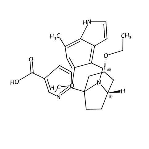 CCO[C@@H]1C[C@@H]2CCC(c3ccc(C(=O)O)cn3)(C1)N2Cc1c(OC)cc(C)c2[nH]ccc12